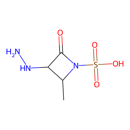 CC1C(NN)C(=O)N1S(=O)(=O)O